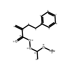 C=C(CCc1ccccc1)C(=O)OOC(C)OCCCC